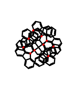 c1ccc2c(c1)-c1ccccc1C2CC(C1c2ccccc2-c2ccccc21)(C1c2ccccc2-c2ccccc21)C(C1c2ccccc2-c2ccccc21)(C1c2ccccc2-c2ccccc21)C([C](C1c2ccccc2-c2ccccc21)C1c2ccccc2-c2ccccc21)(C1c2ccccc2-c2ccccc21)C1c2ccccc2-c2ccccc21